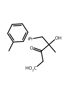 CC(C)CC(C)(O)C(=O)CC(=O)O.Cc1ccccc1